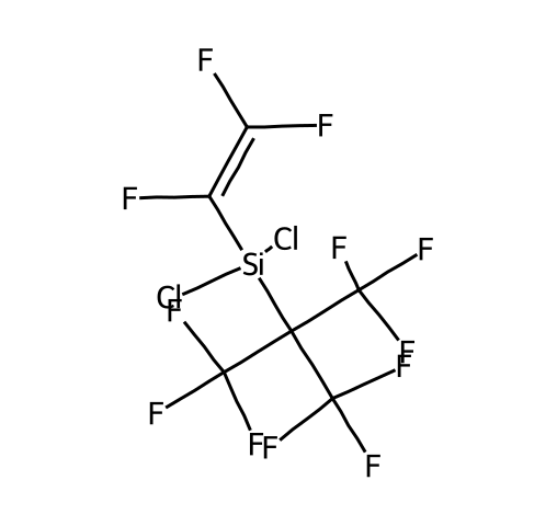 FC(F)=C(F)[Si](Cl)(Cl)C(C(F)(F)F)(C(F)(F)F)C(F)(F)F